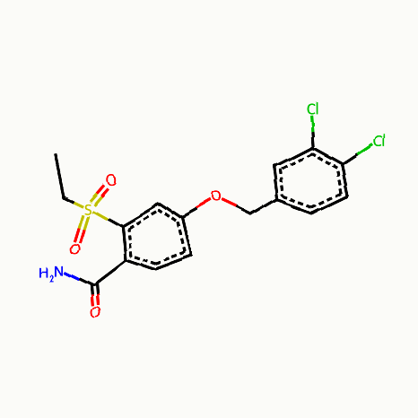 CCS(=O)(=O)c1cc(OCc2ccc(Cl)c(Cl)c2)ccc1C(N)=O